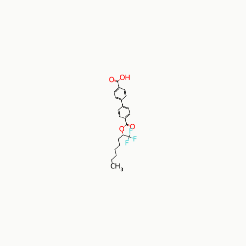 CCCCCCC(OC(=O)c1ccc(-c2ccc(C(=O)O)cc2)cc1)C(F)(F)F